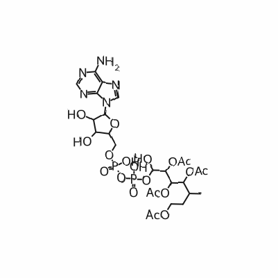 CC(=O)OCCC(C)C(OC(C)=O)C(OC(C)=O)C(OC(C)=O)C(O)OP(=O)(O)OP(=O)(O)OCC1OC(n2cnc3c(N)ncnc32)C(O)C1O